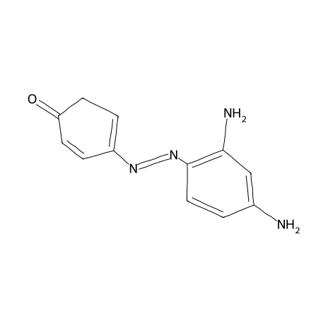 Nc1ccc(N=NC2=CCC(=O)C=C2)c(N)c1